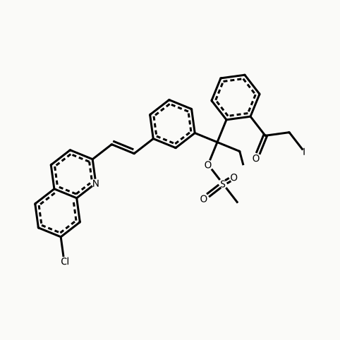 CCC(OS(C)(=O)=O)(c1cccc(C=Cc2ccc3ccc(Cl)cc3n2)c1)c1ccccc1C(=O)CI